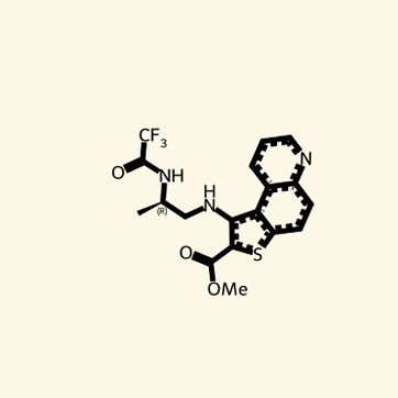 COC(=O)c1sc2ccc3ncccc3c2c1NC[C@@H](C)NC(=O)C(F)(F)F